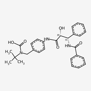 CC(C)(C)N(Cc1ccc(NC(=O)[C@H](O)[C@@H](NC(=O)c2ccccc2)c2ccccc2)cc1)C(=O)O